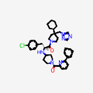 O=C(c1cccc(-c2ccccc2)n1)N1CCC(N[C@H](Cc2ccc(Cl)cc2)C(=O)N2CCC(Cn3cncn3)(C3CCCCC3)CC2)CC1